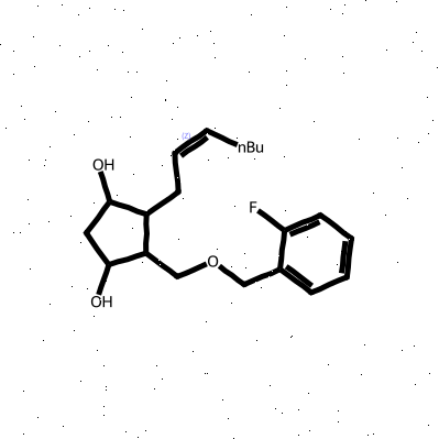 CCCC/C=C\CC1C(O)CC(O)C1COCc1ccccc1F